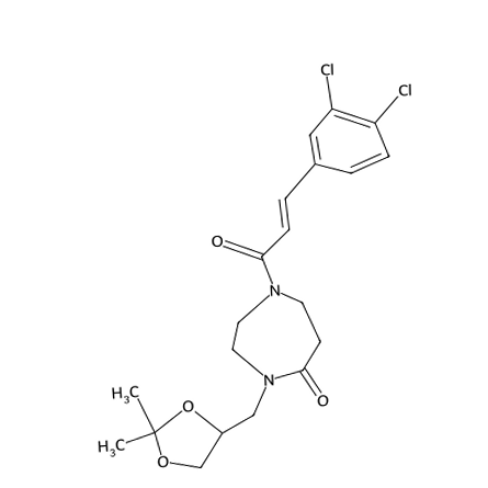 CC1(C)OCC(CN2CCN(C(=O)C=Cc3ccc(Cl)c(Cl)c3)CCC2=O)O1